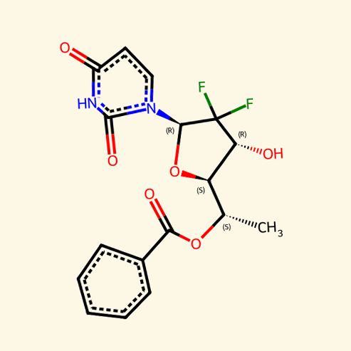 C[C@H](OC(=O)c1ccccc1)[C@H]1O[C@@H](n2ccc(=O)[nH]c2=O)C(F)(F)[C@@H]1O